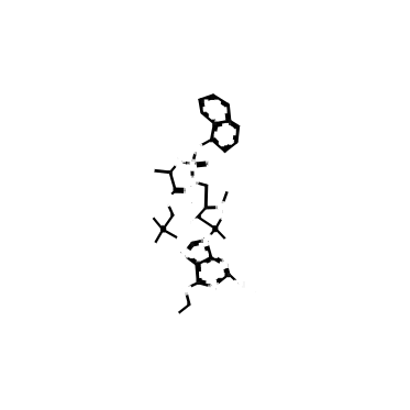 CCOc1nc(N)nc2c1ncn2C(C)(F)[C@H](O)[C@@](F)(COP(=O)(NC(C)C(=O)OCC(C)(C)C)Oc1cccc2ccccc12)OC